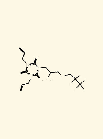 C=CCn1c(=O)n(CC=C)c(=O)n(CC(O)COCC(F)(F)C(C)(F)F)c1=O